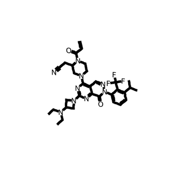 C=CC(=O)N1CCN(c2nc(N3CC(N(CC)CC)C3)nc3c(=O)n(-c4cccc(C(C)C)c4C(F)(F)F)ncc23)CC1CC#N